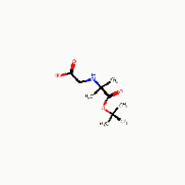 CC(C)(C)OC(=O)C(C)(C)NCC(=O)O